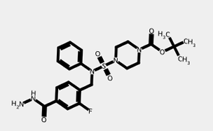 CC(C)(C)OC(=O)N1CCN(S(=O)(=O)N(Cc2ccc(C(=O)NN)cc2F)c2ccccc2)CC1